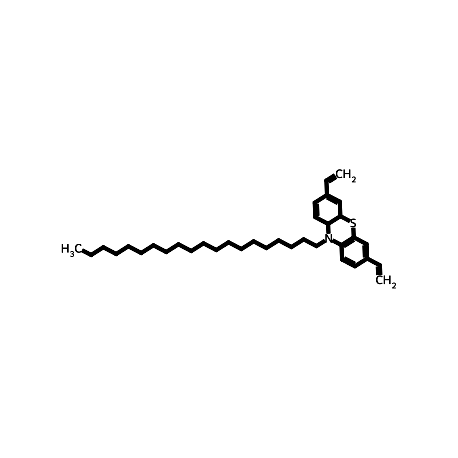 C=CC1=CC2Sc3cc(C=C)ccc3N(CCCCCCCCCCCCCCCCCCCC)C2C=C1